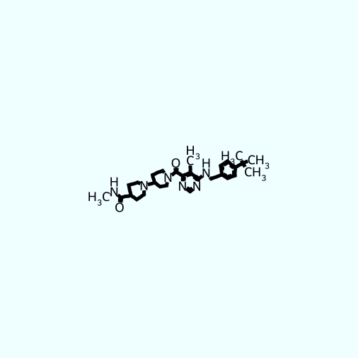 CNC(=O)C1CCN(C2CCN(C(=O)c3ncnc(NCc4ccc(C(C)(C)C)cc4)c3C)CC2)CC1